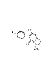 C[CH]c1cc2scc(C)n2c(=O)c1-c1ccc(F)cc1